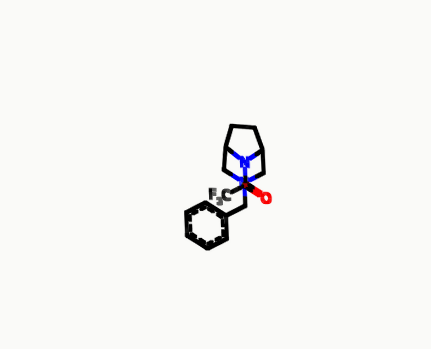 O=C(N1C2CCC1CN(Cc1ccccc1)C2)C(F)(F)F